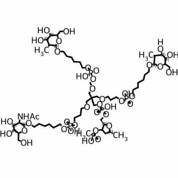 CC(=O)NC1[C@H](OCCCCCCOP(=O)(O)OCCCOCC(COCCCOP(=O)(O)OCCCCCCO[C@@H]2OC(CO)[C@H](O)[C@H](O)C2C)(COCOP(=O)(O)OCCCCCCO[C@@H]2OC(CO)[C@H](O)[C@H](O)C2C)COP(=O)(O)OC[C@H]2O[C@@H](C)CC2OP(C)(=O)O)OC(CO)[C@H](O)[C@@H]1O